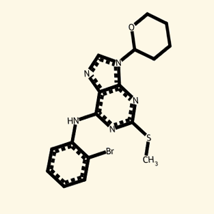 CSc1nc(Nc2ccccc2Br)c2ncn(C3CCCCO3)c2n1